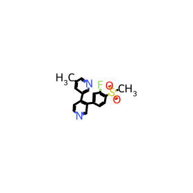 Cc1cncc(-c2ccncc2-c2ccc(S(C)(=O)=O)c(F)c2)c1